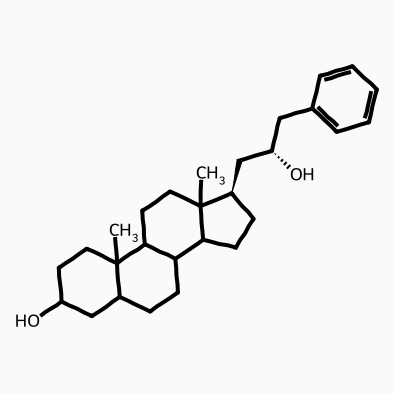 CC12CCC(O)CC1CCC1C2CCC2(C)C1CC[C@@H]2C[C@@H](O)Cc1ccccc1